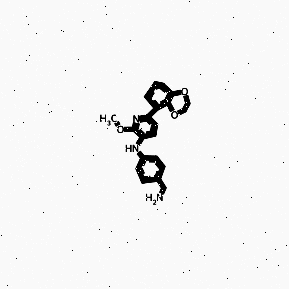 COc1nc(-c2cccc3c2OCCO3)ccc1Nc1ccc(CN)cc1